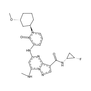 CNc1cc(Nc2cccn([C@@H]3CCC[C@@H](OC)C3)c2=O)nc2c(C(=O)N[C@@H]3C[C@@H]3F)cnn12